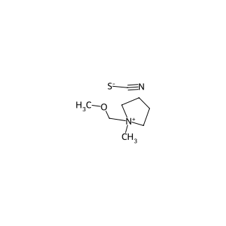 COC[N+]1(C)CCCC1.N#C[S-]